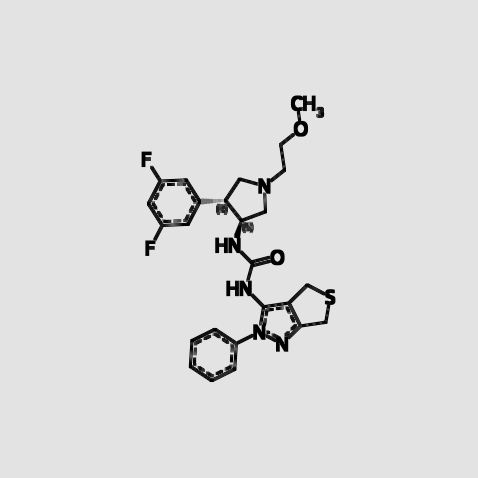 COCCN1C[C@@H](NC(=O)Nc2c3c(nn2-c2ccccc2)CSC3)[C@H](c2cc(F)cc(F)c2)C1